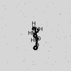 O=C(NCCOc1ccccc1)c1ccc2[nH]c3c(c2c1)CCN[C@@]31CCNC1